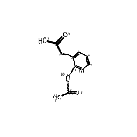 O=C(O)Cc1cccnc1OC(=O)O